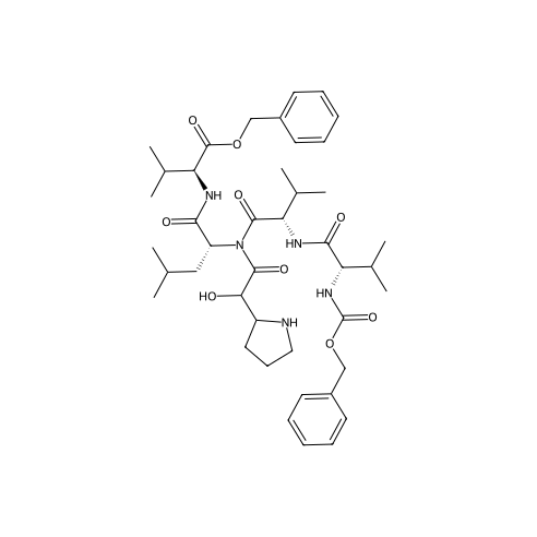 CC(C)C[C@H](C(=O)N[C@H](C(=O)OCc1ccccc1)C(C)C)N(C(=O)C(O)C1CCCN1)C(=O)[C@@H](NC(=O)[C@@H](NC(=O)OCc1ccccc1)C(C)C)C(C)C